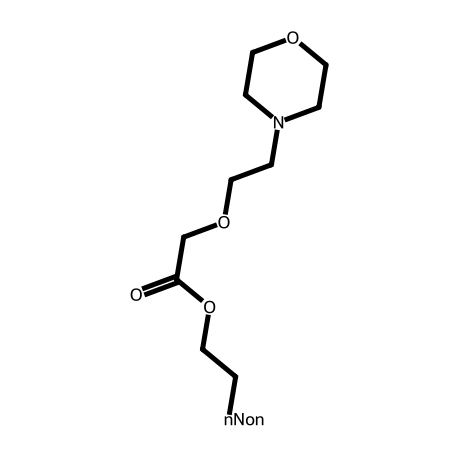 CCCCCCCCCCCOC(=O)COCCN1CCOCC1